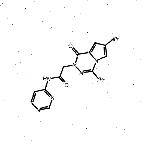 CC(C)c1cc2c(=O)n(CC(=O)Nc3ccncn3)nc(C(C)C)n2c1